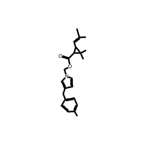 CC(C)=CC1C(C(=O)OCn2ccc(Cc3ccc(C)cc3)c2)C1(C)C